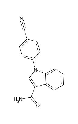 N#Cc1ccc(-n2cc(C(N)=O)c3ccccc32)cc1